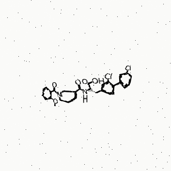 COc1ccccc1C(=O)N1CCCC(C(=O)N[C@@H](Cc2ccc(-c3cccc(Cl)c3)c(Cl)c2)C(=O)O)C1